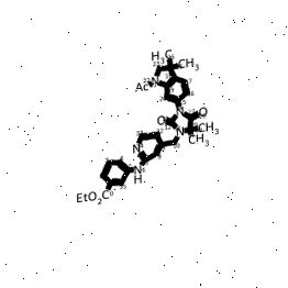 CCOC(=O)c1cccc(Nc2cc(CN3C(=O)N(c4ccc5c(c4)N(C(C)=O)CC5(C)C)C(=O)C3(C)C)ccn2)c1